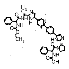 CCOC(=O)NC(C(=O)N[C@@H](C)c1ncc(-c2cnc(-c3ccc(-c4cnc([C@@H]5CCCN5C(=O)[C@H](NC(=O)O)c5ccccc5)[nH]4)cc3)nc2)[nH]1)c1ccccc1